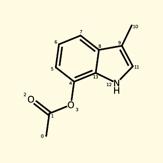 CC(=O)Oc1cccc2c(C)c[nH]c12